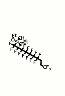 CCO[Si](C)(OCC)C(F)(F)C(F)(F)C(F)(F)C(F)(F)C(F)(F)C(F)(F)C(F)(F)CCC(F)(F)F